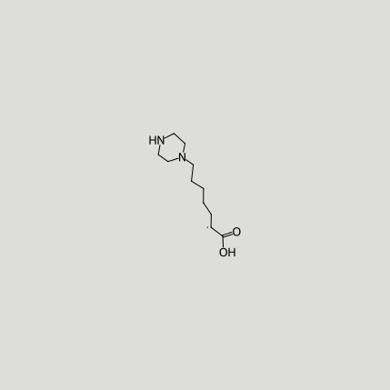 O=C(O)[CH]CCCCCN1CCNCC1